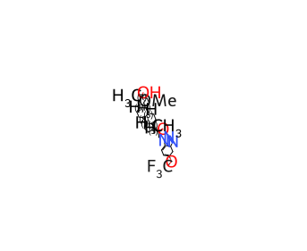 COC[C@]12CC[C@@](C)(O)C[C@@H]1CC[C@H]1[C@@H]3CC[C@H](C(=O)CN4N=NC5CC(OC(F)(F)F)=CC=C54)[C@@]3(C)CC[C@@H]12